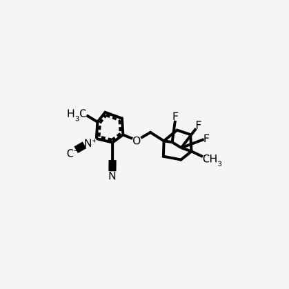 [C-]#[N+]c1c(C)ccc(OCC23CCC(C)(CC2)C(F)(F)C3F)c1C#N